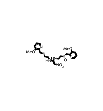 COc1cccnc1CSCCNC(=C[N+](=O)[O-])NCC[S+]([O-])Cc1ncccc1OC